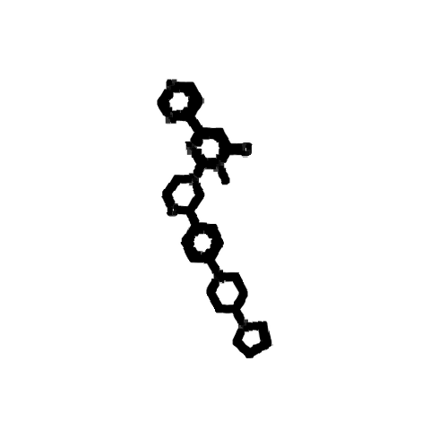 Cn1c(N2CCOC(c3ccc(N4CCC(N5CCCC5)CC4)cc3)C2)nc(-c2ccncn2)cc1=O